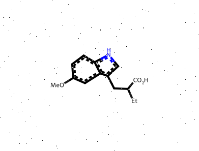 CCC(Cc1c[nH]c2ccc(OC)cc12)C(=O)O